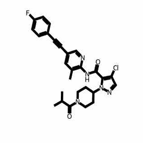 Cc1cc(C#Cc2ccc(F)cc2)cnc1NC(=O)c1c(Cl)cnn1C1CCN(C(=O)C(C)C)CC1